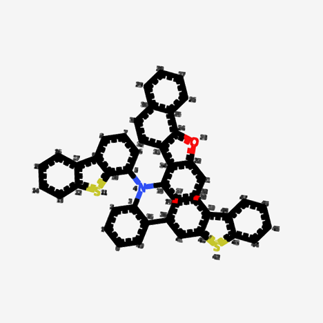 c1ccc(N(c2cccc3c2sc2ccccc23)c2cccc3oc4c5ccccc5ccc4c23)c(-c2ccc3c(c2)sc2ccccc23)c1